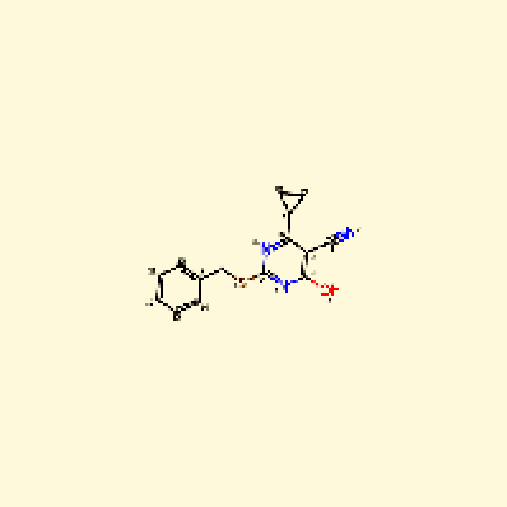 N#Cc1c(O)nc(SCc2ccccc2)nc1C1CC1